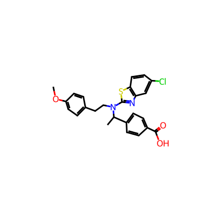 COc1ccc(CCN(c2nc3cc(Cl)ccc3s2)C(C)c2ccc(C(=O)O)cc2)cc1